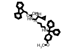 COC1=CCC(C(NCCCC[C@H](NC(O)OCC2c3ccccc3-c3ccccc32)C(O)C2CC2)(c2ccccc2)c2ccccc2)C=C1